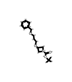 CC(C)(C)OC(=O)N1CC(OCCCOCc2ccccc2)C1